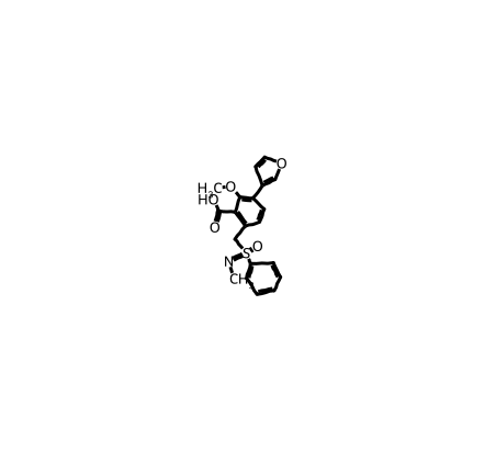 CN=S(=O)(Cc1ccc(-c2ccoc2)c(OC)c1C(=O)O)c1ccccc1